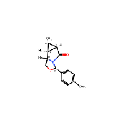 COc1ccc([C@H]2OC[C@@H]3[C@H]4[C@H](C)[C@H]4C(=O)N23)cc1